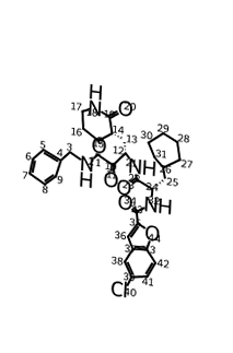 O=C(NCc1ccccc1)C(=O)[C@H](C[C@@H]1CCCNC1=O)NC(=O)[C@H](CC1CCCCC1)NC(=O)c1cc2cc(Cl)ccc2o1